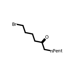 [CH2]CCCCCC(=O)CCCCBr